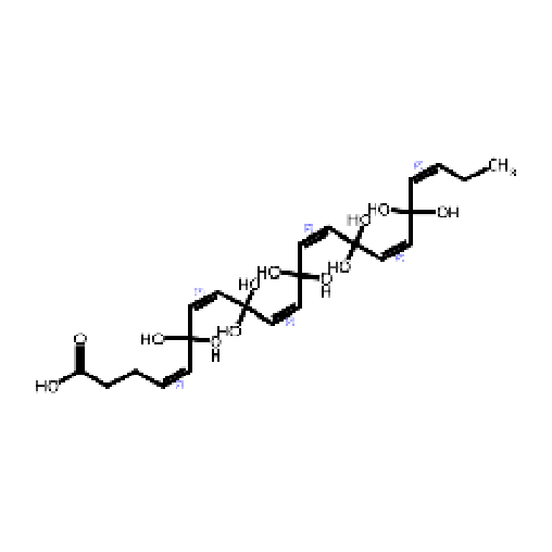 CC/C=C\C(O)(O)/C=C\C(O)(O)/C=C\C(O)(O)/C=C\C(O)(O)/C=C\C(O)(O)/C=C\CCC(=O)O